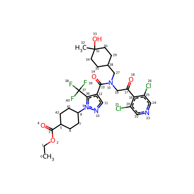 CCOC(=O)C1CCC(n2ncc(C(=O)N(CC(=O)c3c(Cl)cncc3Cl)CC3CCC(C)(O)CC3)c2C(F)(F)F)CC1